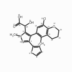 Cc1c(-c2c(-c3cccs3)nn(C)c2C(O)C(=O)O)cc(Cl)c2c1CCCO2